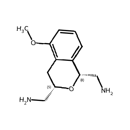 COc1cccc2c1C[C@@H](CN)O[C@H]2CN